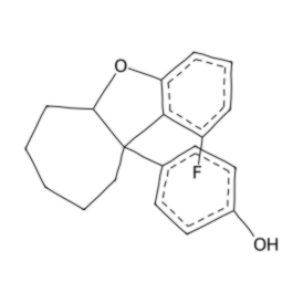 Oc1ccc(C23CCCCCC2Oc2cccc(F)c23)cc1